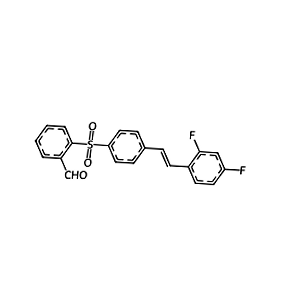 O=Cc1ccccc1S(=O)(=O)c1ccc(C=Cc2ccc(F)cc2F)cc1